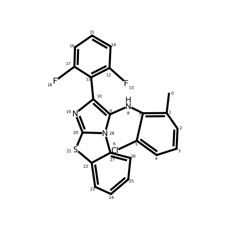 Cc1cccc(Cl)c1Nc1c(-c2c(F)cccc2F)nc2sc3ccccc3n12